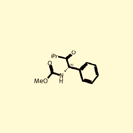 COC(=O)N[C@H](C(=O)C(C)C)c1ccccc1